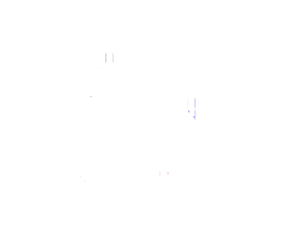 C1CO1.C1COCCN1.C=C(C)C(=O)O